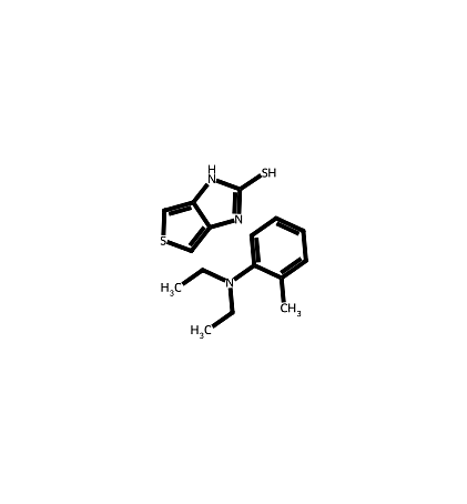 CCN(CC)c1ccccc1C.Sc1nc2cscc2[nH]1